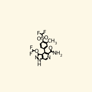 Cc1cc(-c2c(C(N)=O)ncc3[nH]nc(OC(F)F)c23)ccc1S(=O)(=O)C(F)F